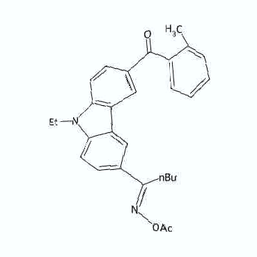 CCCC/C(=N\OC(C)=O)c1ccc2c(c1)c1cc(C(=O)c3ccccc3C)ccc1n2CC